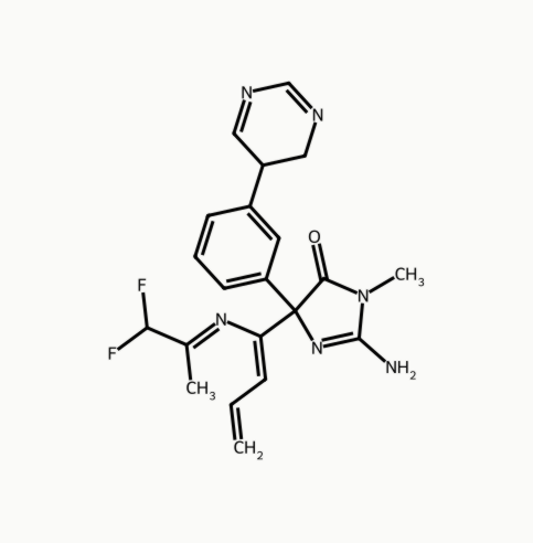 C=C/C=C(\N=C(/C)C(F)F)C1(c2cccc(C3C=NC=NC3)c2)N=C(N)N(C)C1=O